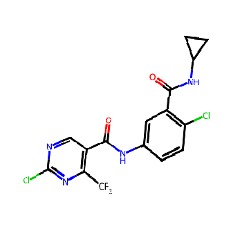 O=C(NC1CC1)c1cc(NC(=O)c2cnc(Cl)nc2C(F)(F)F)ccc1Cl